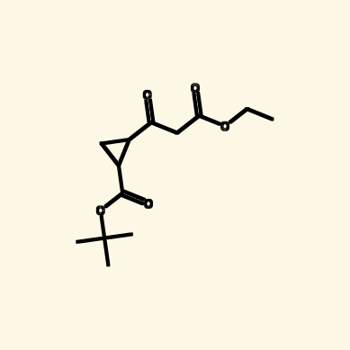 CCOC(=O)CC(=O)C1CC1C(=O)OC(C)(C)C